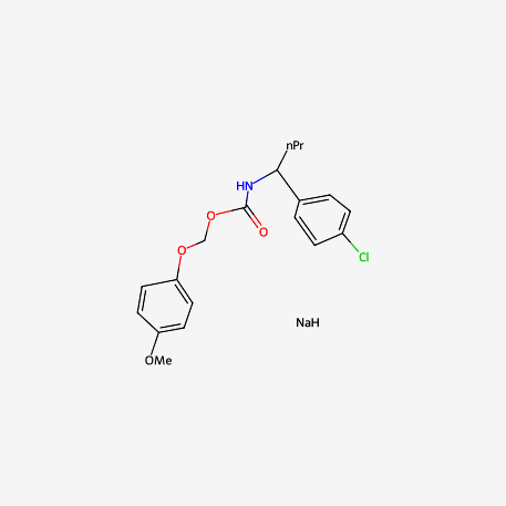 CCCC(NC(=O)OCOc1ccc(OC)cc1)c1ccc(Cl)cc1.[NaH]